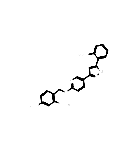 COc1ccc(CNc2ccc(-c3cc(-c4ccccc4OC)[nH]n3)cn2)c(OC)c1